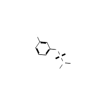 CN(C)S(=O)(=O)Oc1cccc(N)c1